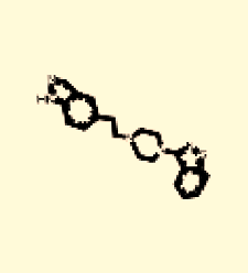 c1ccc2c(N3CCN(CCc4ccc5[nH]ncc5c4)CC3)nsc2c1